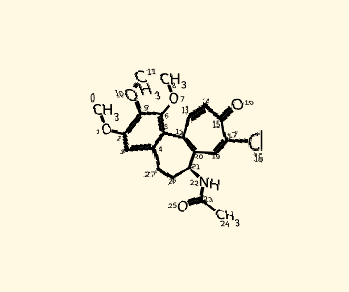 COc1cc2c(c(OC)c1OC)-c1ccc(=O)c(Cl)cc1[C@@H](NC(C)=O)CC2